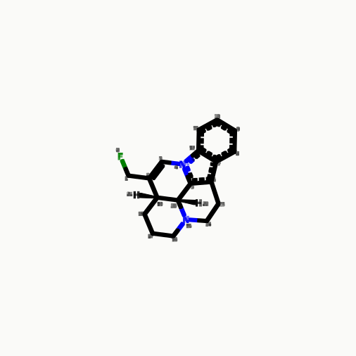 FCC1=Cn2c3c(c4ccccc42)CCN2CCC[C@H]1[C@H]32